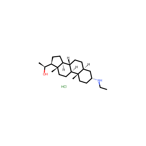 CCN[C@@H]1CC[C@@]2(C)[C@@H](CC[C@@H]3[C@@H]2CC[C@]2(C)[C@@H]([C@H](C)O)CC[C@@H]32)C1.Cl